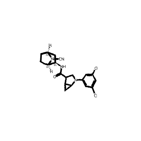 N#CN1[C@H]2CC[C@@H]1[C@H](NC(=O)C1CN(c3cc(Cl)cc(Cl)c3)C3CC13)C2